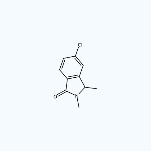 CC1c2cc(Cl)ccc2C(=O)N1C